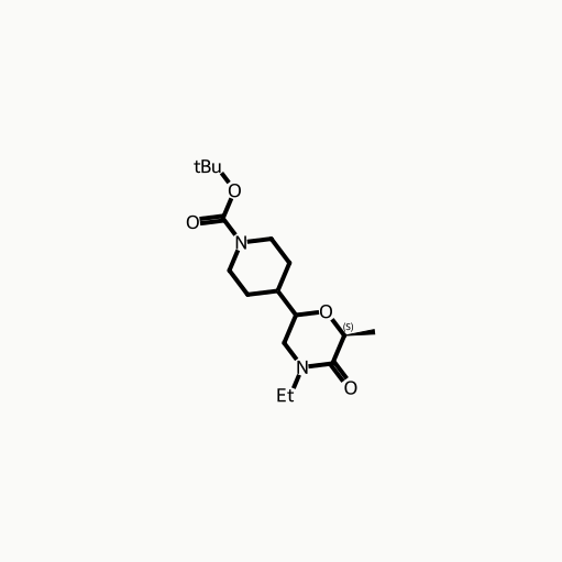 CCN1CC(C2CCN(C(=O)OC(C)(C)C)CC2)O[C@@H](C)C1=O